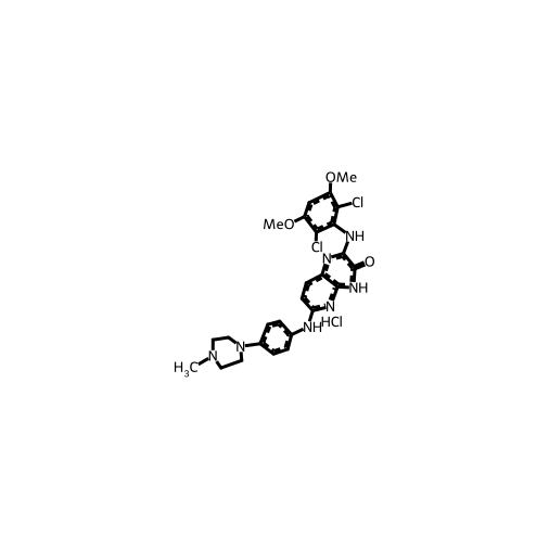 COc1cc(OC)c(Cl)c(Nc2nc3ccc(Nc4ccc(N5CCN(C)CC5)cc4)nc3[nH]c2=O)c1Cl.Cl